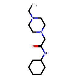 O=C(CN1CCN(CC(F)(F)F)CC1)NC1CCCCC1